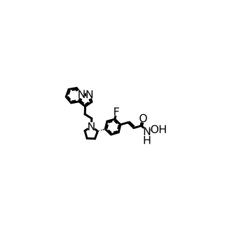 O=C(C=Cc1ccc([C@@H]2CCCN2CCc2cnn3ccccc23)cc1F)NO